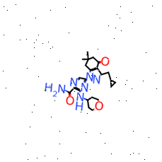 CC1(C)CC(=O)c2c(CC3CC3)nn(-c3cnc(C(N)=O)c(NC4CCOCC4)n3)c2C1